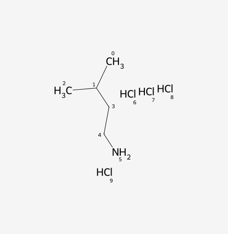 CC(C)CCN.Cl.Cl.Cl.Cl